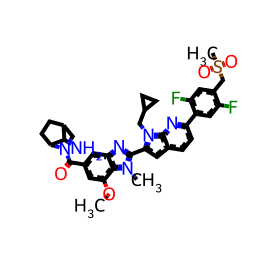 COc1cc(C(=O)N2CC3CCC2C3N)cc2nc(-c3cc4ccc(-c5cc(F)c(CS(C)(=O)=O)cc5F)nc4n3CC3CC3)n(C)c12